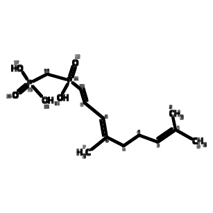 CC(C)=CCCC(C)=CC=CP(=O)(O)CP(=O)(O)O